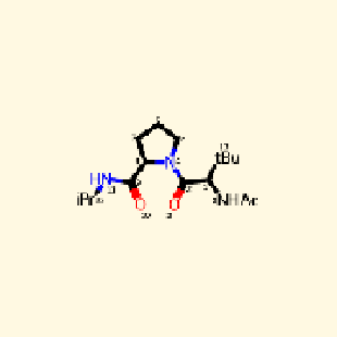 CC(=O)NC(C(=O)N1CCCC1C(=O)NC(C)C)C(C)(C)C